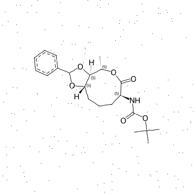 C[C@@H]1OC(=O)[C@@H](NC(=O)OC(C)(C)C)CCC[C@@H]2OC(c3ccccc3)O[C@@H]12